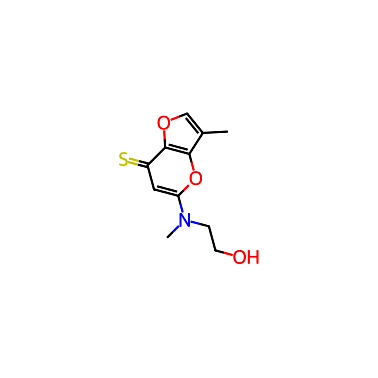 Cc1coc2c(=S)cc(N(C)CCO)oc12